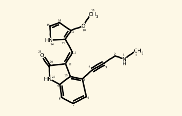 CNCC#Cc1cccc2c1C(=Cc1[nH]ccc1OC)C(=O)N2